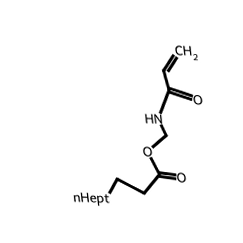 C=CC(=O)NCOC(=O)CCCCCCCCC